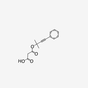 CC(C)(C#Cc1ccccc1)OC(=O)CC(=O)O